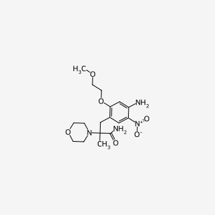 COCCOc1cc(N)c([N+](=O)[O-])cc1CC(C)(C(N)=O)N1CCOCC1